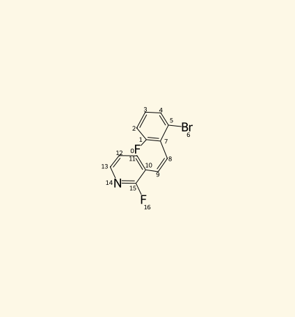 Fc1cccc(Br)c1/C=C\c1cccnc1F